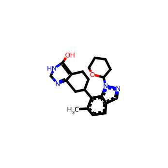 Cc1ccc2cnn(C3CCCCO3)c2c1C1CCC2=C(O)NCN=C2C1